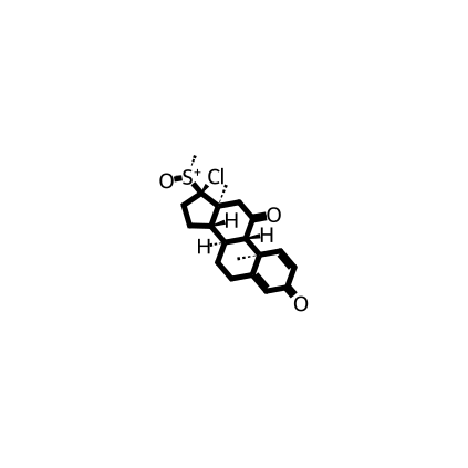 C[S@@+]([O-])[C@@]1(Cl)CC[C@H]2[C@@H]3CCC4=CC(=O)C=C[C@]4(C)[C@H]3C(=O)C[C@@]21C